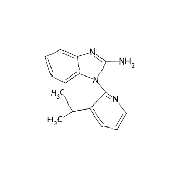 CC(C)c1cccnc1-n1c(N)nc2ccccc21